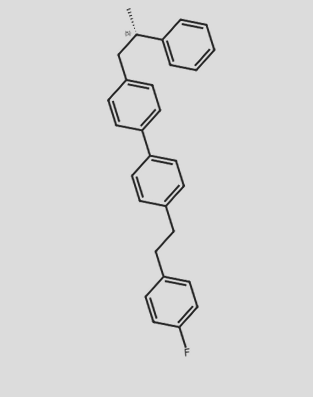 C[C@@H](Cc1ccc(-c2ccc(CCc3ccc(F)cc3)cc2)cc1)c1ccccc1